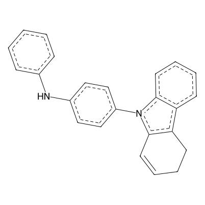 C1=Cc2c(c3ccccc3n2-c2ccc(Nc3ccccc3)cc2)CC1